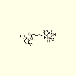 C=C1CCC(=O)N1OC(=O)CCCC[C@@H]1SC[C@@H]2NC(=O)N[C@@H]21